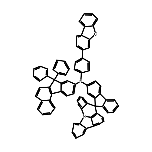 c1ccc(C2(c3ccccc3)c3cc(N(c4ccc(-c5ccc6c(c5)oc5ccccc56)cc4)c4ccc5c(c4)C4(c6ccccc6-5)c5ccccc5-n5c6ccccc6c6cccc4c65)ccc3-c3c2ccc2ccccc32)cc1